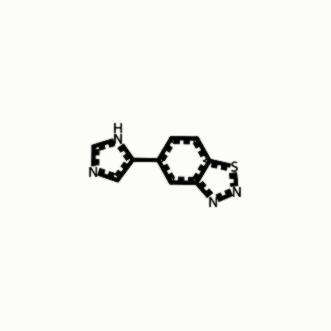 c1ncc(-c2ccc3snnc3c2)[nH]1